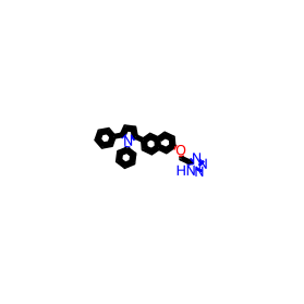 c1ccc(-c2ccc(-c3ccc4cc(OCc5nnn[nH]5)ccc4c3)n2-c2ccccc2)cc1